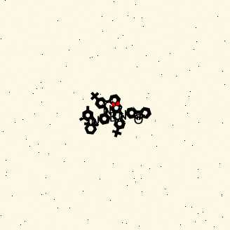 Cc1cc2c3c(c1)N(c1ccc(C(C)(C)C)cc1-c1ccccc1)c1cc(N4c5cc(C)cc(C)c5C5(C)CCCCC45C)ccc1B3c1cc(C(C)(C)C)ccc1N2c1ccc2c(c1)oc1ccccc12